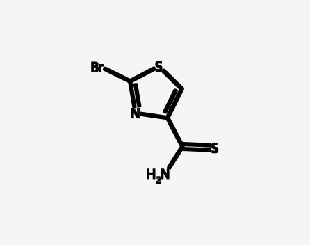 NC(=S)c1csc(Br)n1